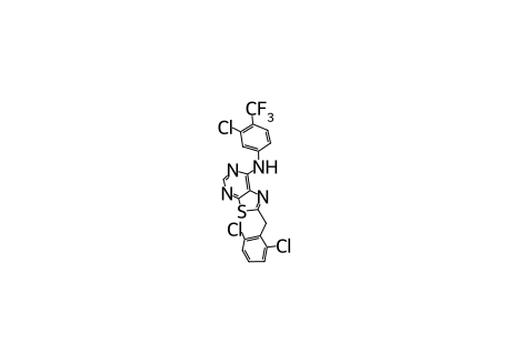 FC(F)(F)c1ccc(Nc2ncnc3sc(Cc4c(Cl)cccc4Cl)nc23)cc1Cl